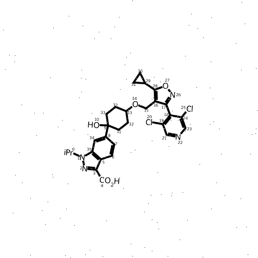 CC(C)n1nc(C(=O)O)c2ccc(C3(O)CCC(OCc4c(-c5c(Cl)cncc5Cl)noc4C4CC4)CC3)cc21